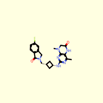 Cc1nc(N[C@H]2C[C@@H](CN3Cc4cc(F)ccc4C3=O)C2)nc2c1NC(=O)CN2C